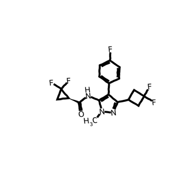 Cn1nc(C2CC(F)(F)C2)c(-c2ccc(F)cc2)c1NC(=O)[C@H]1CC1(F)F